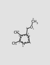 CO[CH]c1ccnc(Cl)c1Cl